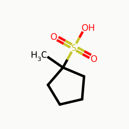 CC1(S(=O)(=O)O)CCCC1